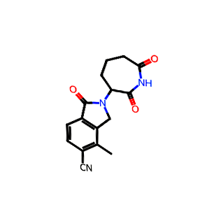 Cc1c(C#N)ccc2c1CN(C1CCCC(=O)NC1=O)C2=O